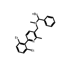 CCCCC(c1ccccc1)N(C)Cc1ccc(-c2c(CC)cccc2CC)nc1C